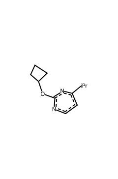 CC(C)c1ccnc(OC2CCC2)n1